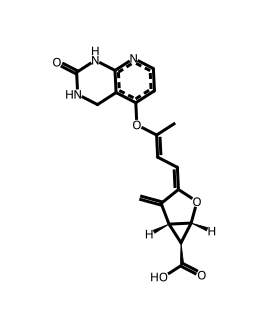 C=C1/C(=C\C=C(/C)Oc2ccnc3c2CNC(=O)N3)O[C@H]2[C@@H]1[C@@H]2C(=O)O